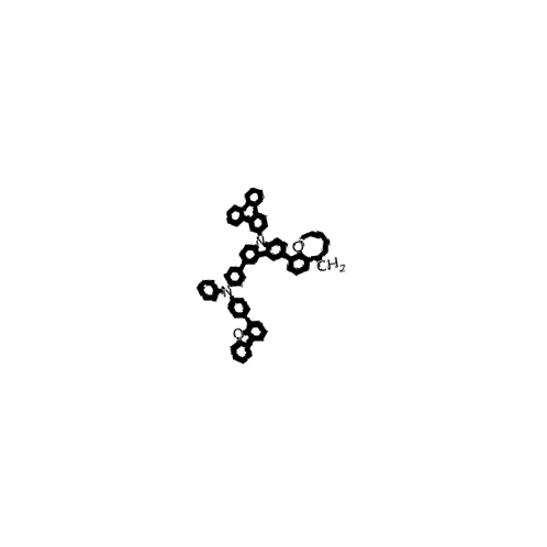 C=C1/C=C\C=C/COc2c1cccc2-c1ccc2c(c1)c1cc(-c3ccc(N(c4ccccc4)c4ccc(-c5cccc6c5oc5ccccc56)cc4)cc3)ccc1n2-c1ccc2c3ccccc3c3ccccc3c2c1